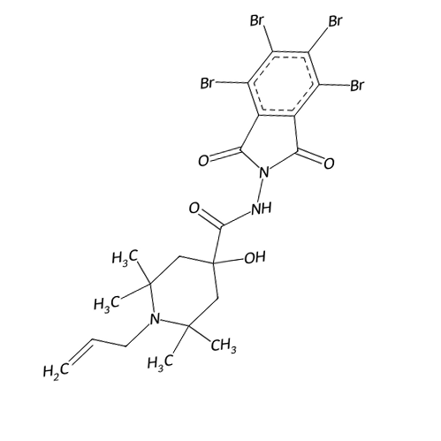 C=CCN1C(C)(C)CC(O)(C(=O)NN2C(=O)c3c(Br)c(Br)c(Br)c(Br)c3C2=O)CC1(C)C